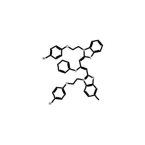 Cc1ccc2c(c1)sc(/C=C(/C=C1\Sc3ccccc3N1CCOc1ccc(Br)cc1)SC1=CCCC=C1)[n+]2CCOc1ccc(Br)cc1